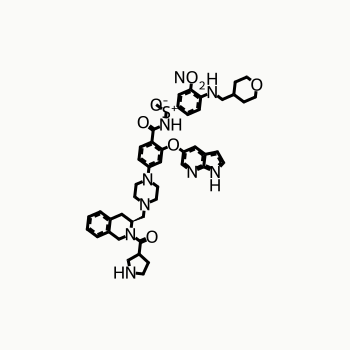 O=C(N[S+]([O-])c1ccc(NCC2CCOCC2)c([N+](=O)[O-])c1)c1ccc(N2CCN(C[C@@H]3Cc4ccccc4CN3C(=O)C3CCNC3)CC2)cc1Oc1cnc2[nH]ccc2c1